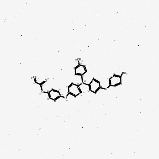 Bc1ccc(Oc2ccc(N(c3ccc(C)cc3)c3ccc(Oc4ccc(OC(=O)C=C)cc4)cc3)cc2)cc1